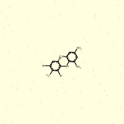 O=[N+]([O-])c1cc([N+](=O)[O-])c(Nc2c(Br)cc(Br)c(C(F)(F)F)c2Br)c([N+](=O)[O-])c1